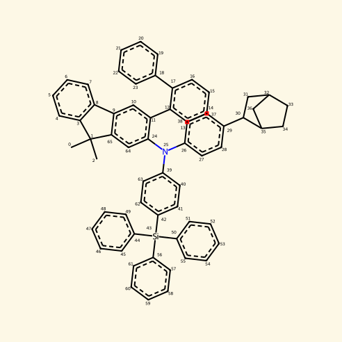 CC1(C)c2ccccc2-c2cc(-c3ccccc3-c3ccccc3)c(N(c3ccc(C4CC5CCC4C5)cc3)c3ccc([Si](c4ccccc4)(c4ccccc4)c4ccccc4)cc3)cc21